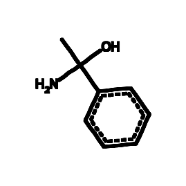 CC(N)(O)c1ccccc1